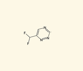 FC(F)c1cn[c]nn1